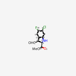 COC(=O)c1[nH]c2cc(Cl)c(F)cc2c1C=O